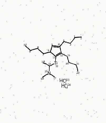 CCCCC1=CC(CCCC)[C]([Ti][CH](C)N(C)C)=C1CCCC.Cl.Cl